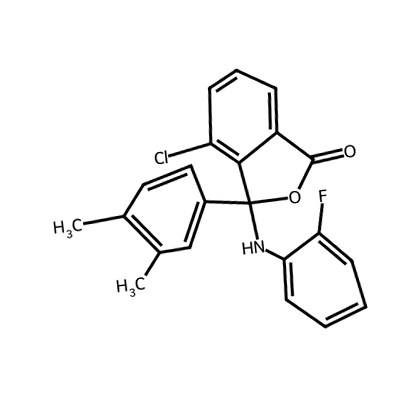 Cc1ccc(C2(Nc3ccccc3F)OC(=O)c3cccc(Cl)c32)cc1C